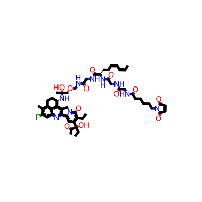 C/C=C\C=C/CC[C@H](NC(=O)CNC(=O)CNC(=O)CCCCCN1C(=O)C=CC1=O)C(=O)NCC(=O)NCOCC(C)(O)N[C@H]1CCc2c(C)c(F)cc3nc4c(c1c23)Cn1c-4cc(C(O)(CC)C(C)=O)c(CC)c1=O